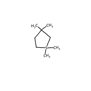 CC1(C)CCS(C)(C)C1